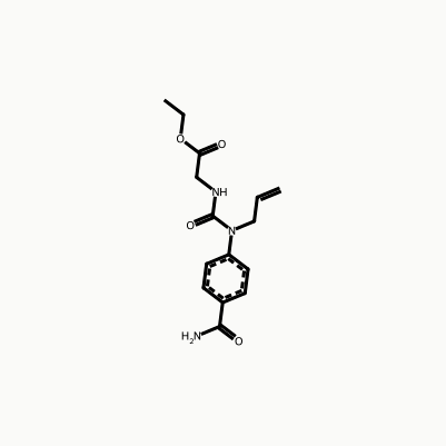 C=CCN(C(=O)NCC(=O)OCC)c1ccc(C(N)=O)cc1